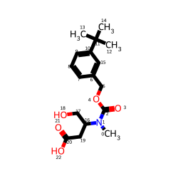 CN(C(=O)OCc1cccc(C(C)(C)C)c1)C(CO)CC(=O)O